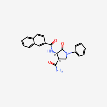 NC(=O)[C@@H]1CN(c2ccccc2)C(=O)[C@@H]1NC(=O)c1ccc2ccccc2c1